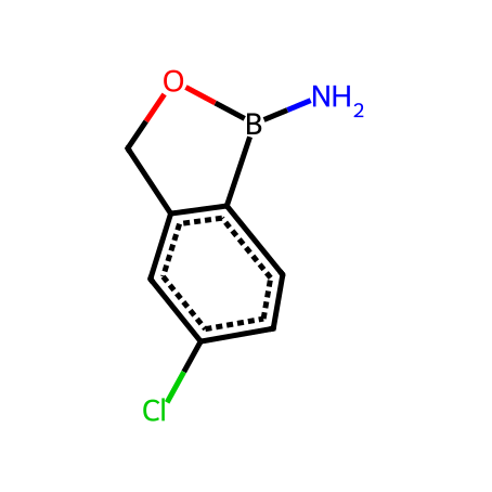 NB1OCc2cc(Cl)ccc21